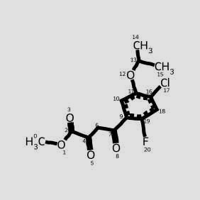 COC(=O)C(=O)CC(=O)c1cc(OC(C)C)c(Cl)cc1F